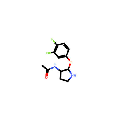 CC(=O)NC1CCNC1Oc1ccc(F)c(F)c1